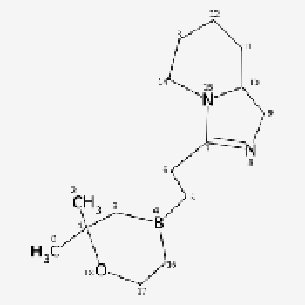 CC1(C)CB(CCC2=NCC3CCCCN23)CCO1